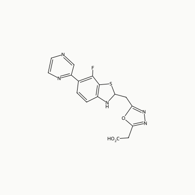 O=C(O)Cc1nnc(CC2Nc3ccc(-c4cnccn4)c(F)c3S2)o1